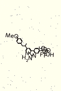 COc1ccc(CC(C)c2cnc3c(N)nc4cc(C(=O)C(F)(F)P(=O)(O)O)ccc4c3c2)cc1